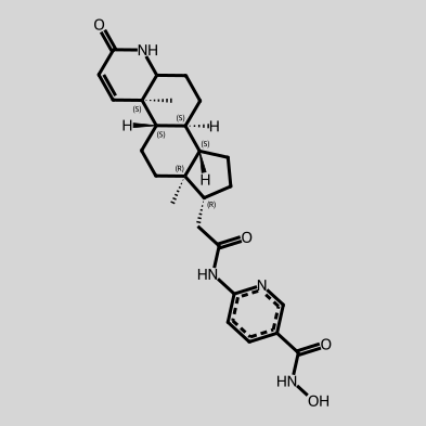 C[C@]12CC[C@H]3[C@@H](CCC4NC(=O)C=C[C@@]43C)[C@@H]1CC[C@@H]2CC(=O)Nc1ccc(C(=O)NO)cn1